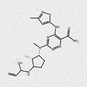 C=CC(O)NC1CC[C@@H](N(C)c2nnc(C(N)=O)c(Nc3cc(C)ns3)n2)[C@H]1C